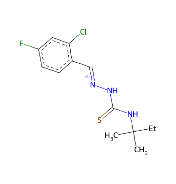 CCC(C)(C)NC(=S)N/N=C/c1ccc(F)cc1Cl